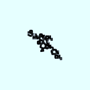 Cc1ccc(Cn2cc3c(n2)-c2c(oc(C(=O)NC[C@@H]4CCCO4)c2C(C)(F)F)CC32CC2)cn1